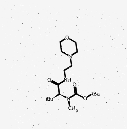 CC[C@H](C)[C@@H](C(=O)NCCN1CCOCC1)N(C)C(=O)OC(C)(C)C